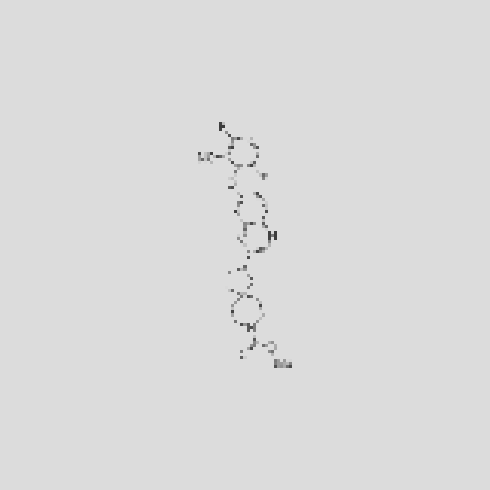 CC(C)(C)OC(=O)N1CCC2(CCC(c3cnc4ccc(Oc5c(F)ccc(F)c5C#N)cc4n3)C2)CC1